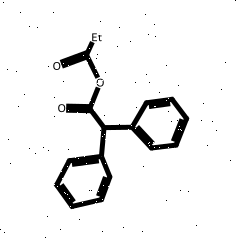 [CH2]CC(=O)OC(=O)C(c1ccccc1)c1ccccc1